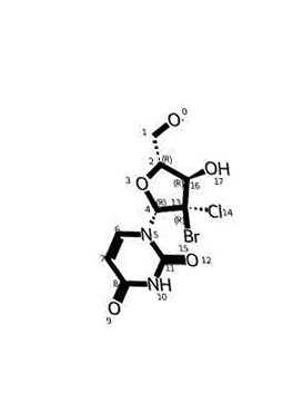 [O]C[C@H]1O[C@@H](n2ccc(=O)[nH]c2=O)[C@](Cl)(Br)[C@@H]1O